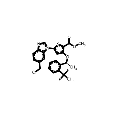 COC(=O)c1sc(-n2cnc3ccc(CCl)cc32)cc1O[C@H](C)c1ccccc1C(C)(F)F